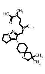 CN(CCN(C)C(=O)O)Cc1nn2c(c1[C@H]1CC[C@@]3(CC1)CC(C)(C)CO3)CCC2